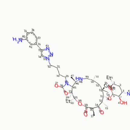 CC[C@@H]1C[C@H](N(C)C)[C@@H](O)C(O[C@@H]2[C@H](C)C(=O)[C@@H](C)C(=O)O[C@H](CC)[C@@]3(C)OC(=O)N(CCCCn4cc(-c5cccc(N)c5)nn4)C3[C@@H](C)NC[C@H](C)C[C@@]2(C)OC)O1